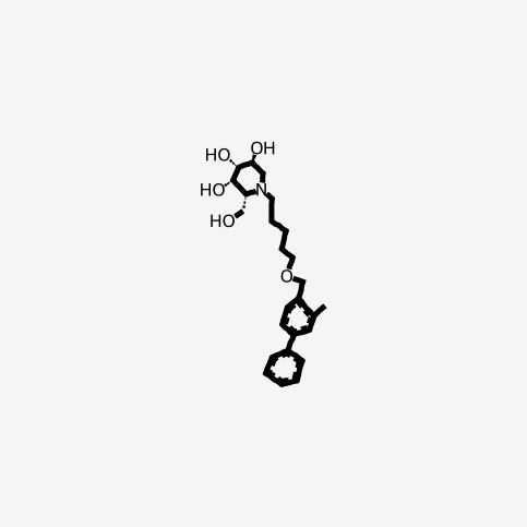 Cc1cc(-c2ccccc2)ccc1COCCCCCN1C[C@H](O)[C@@H](O)[C@@H](O)[C@H]1CO